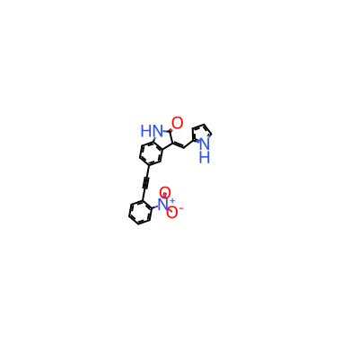 O=C1Nc2ccc(C#Cc3ccccc3[N+](=O)[O-])cc2C1=Cc1ccc[nH]1